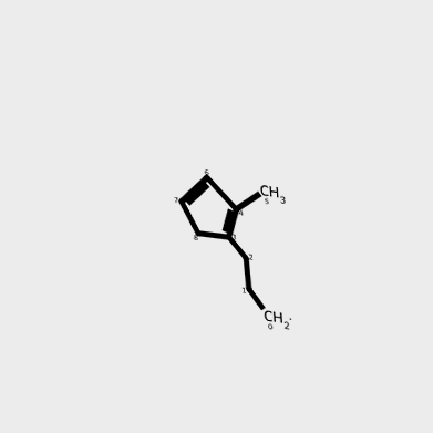 [CH2]CCC1=C(C)C=CC1